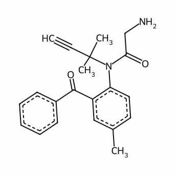 C#CC(C)(C)N(C(=O)CN)c1ccc(C)cc1C(=O)c1ccccc1